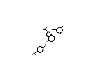 O=C(O)c1cc2c(NCc3ccc(C(F)(F)F)cc3)cccc2n1Cc1cccc(Cl)c1